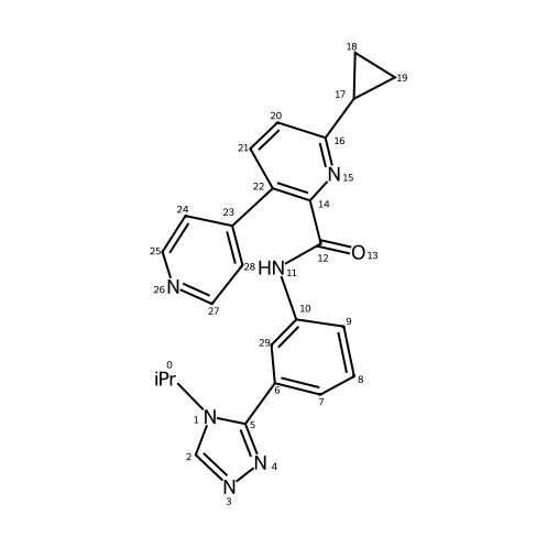 CC(C)n1cnnc1-c1cccc(NC(=O)c2nc(C3CC3)ccc2-c2ccncc2)c1